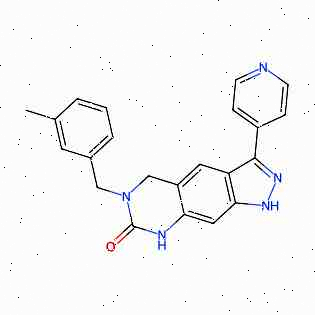 Cc1cccc(CN2Cc3cc4c(-c5ccncc5)n[nH]c4cc3NC2=O)c1